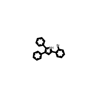 Brc1ccccc1-c1cc(-c2ccccc2)c(-c2ccccc2)[nH]1